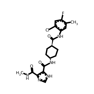 CNC(=O)c1nc[nH]c1C(=O)N[C@H]1CC[C@H](C(=O)Nc2cc(C)c(F)cc2Cl)CC1